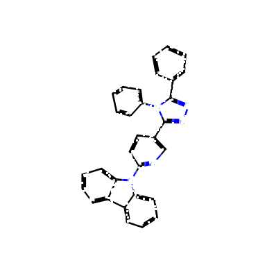 c1ccc(-c2nnc(-c3ccc(-n4c5ccccc5c5ccccc54)nc3)n2-c2ccccc2)cc1